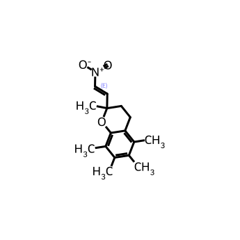 Cc1c(C)c(C)c2c(c1C)CCC(C)(/C=C/[N+](=O)[O-])O2